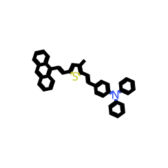 Cc1cc(C=Cc2c3ccccc3cc3ccccc23)sc1C=Cc1ccc(N(c2ccccc2)c2ccccc2)cc1